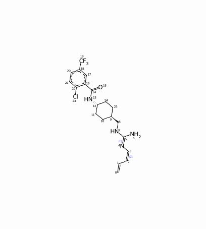 C=C/C=C\N=C(/N)NC[C@H]1CC[C@H](NC(=O)c2cc(C(F)(F)F)ccc2Cl)CC1